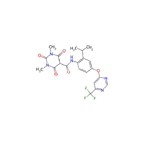 CC(C)c1cc(Oc2cc(C(F)(F)F)ncn2)ccc1NC(=O)C1C(=O)N(C)C(=O)N(C)C1=O